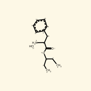 CCC(CC)OC(=O)C(N)Cc1ccccc1.Cl